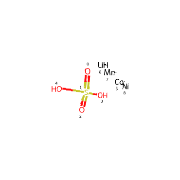 O=S(=O)(O)O.[Co].[LiH].[Mn].[Ni]